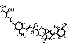 Cc1cc(OCCC(O)CO)ccc1/C=C/S(=O)(=O)N1CCC2(CC1)N=C(c1cccc(C(F)(F)F)c1F)NC2=O